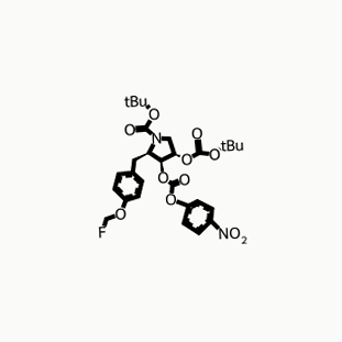 CC(C)(C)OC(=O)O[C@H]1CN(C(=O)OC(C)(C)C)[C@H](Cc2ccc(OCF)cc2)[C@@H]1OC(=O)Oc1ccc([N+](=O)[O-])cc1